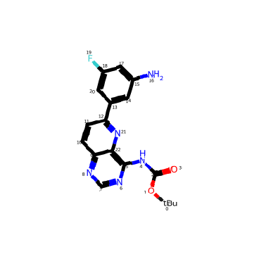 CC(C)(C)OC(=O)Nc1ncnc2ccc(-c3cc(N)cc(F)c3)nc12